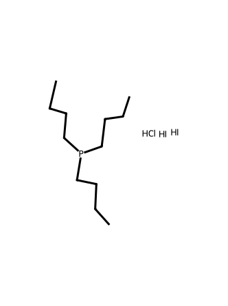 CCCCP(CCCC)CCCC.Cl.I.I